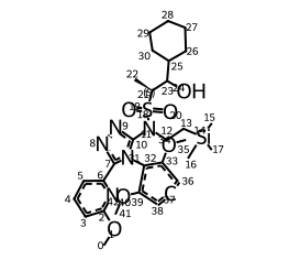 COc1cccc(-c2nnc(N(CC[Si](C)(C)C)S(=O)(=O)[C@@H](C)C(O)C3CCCCC3)n2-c2c(OC)cccc2OC)n1